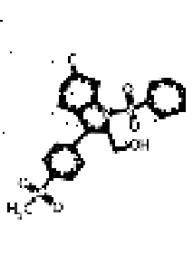 CS(=O)(=O)c1ccc(-c2c(CO)n(S(=O)(=O)c3ccccc3)c3cc(Cl)ccc23)cc1